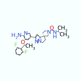 CC(C)NC(=O)N1CC[C@@]2(CCn3nc(-c4cnc(N)c(O[C@H](C)c5c(F)cccc5F)c4)cc32)C1